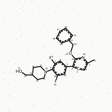 Cc1ccc(-c2cc(F)c(N3CCC(CO)CC3)c(F)c2)c(OCc2ccccc2)n1